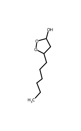 CCCCCCC1CC(O)OO1